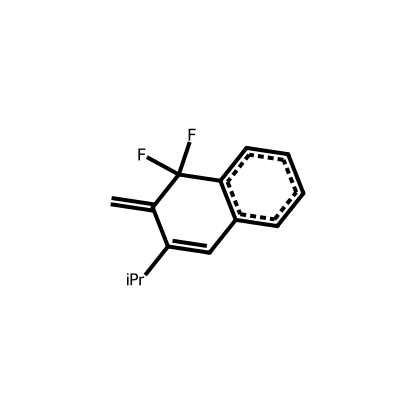 C=C1C(C(C)C)=Cc2ccccc2C1(F)F